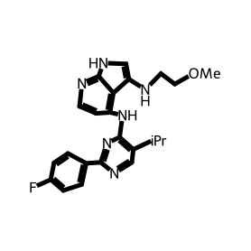 COCCNc1c[nH]c2nccc(Nc3nc(-c4ccc(F)cc4)ncc3C(C)C)c12